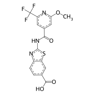 COc1cc(C(=O)Nc2nc3ccc(C(=O)O)cc3s2)cc(C(F)(F)F)n1